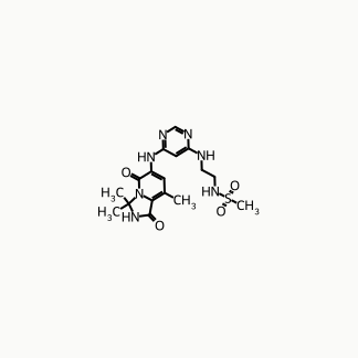 Cc1cc(Nc2cc(NCCNS(C)(=O)=O)ncn2)c(=O)n2c1C(=O)NC2(C)C